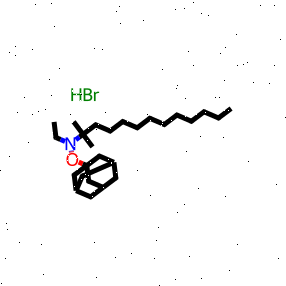 Br.CCCCCCCCCCCC(C)(C)N(CC)OC12CC3CC(CC(C3)C1)C2